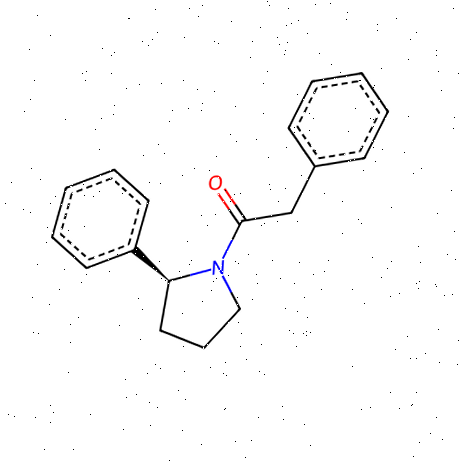 O=C(Cc1ccccc1)N1CCC[C@H]1c1ccccc1